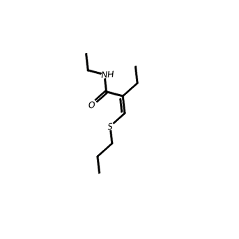 CCCSC=C(CC)C(=O)NCC